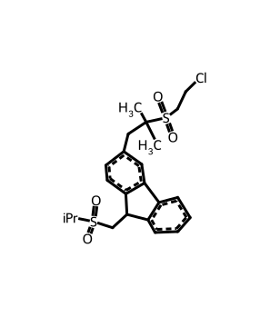 CC(C)S(=O)(=O)CC1c2ccccc2-c2cc(CC(C)(C)S(=O)(=O)CCCl)ccc21